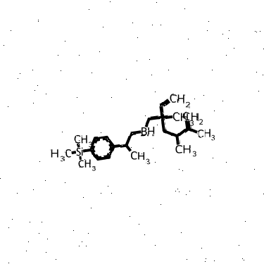 C=CC(C)(CBCC(C)c1ccc([Si](C)(C)C)cc1)CC(C)C(=C)C